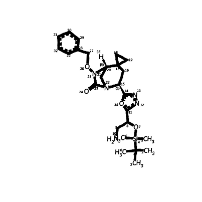 CC(C)(C)[Si](C)(C)OC(CN)c1nnc([C@@H]2CC3(CC3)[C@@H]3CN2C(=O)N3OCc2ccccc2)o1